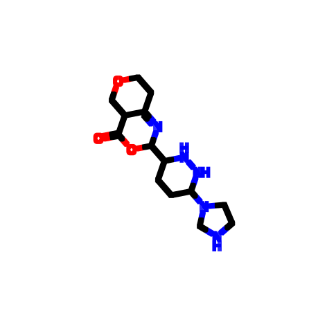 O=C1OC(C2CCC(N3CCNC3)NN2)N=C2CCOCC12